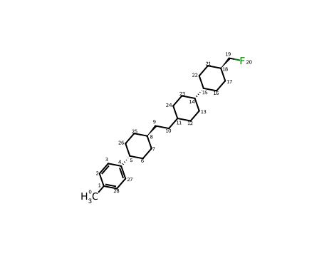 Cc1ccc([C@H]2CC[C@H](CCC3CCC([C@H]4CC[C@H](CF)CC4)CC3)CC2)cc1